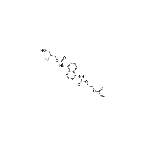 C=CC(=O)OCCOC(=O)Nc1cccc2c(NC(=O)OCC(O)CO)cccc12